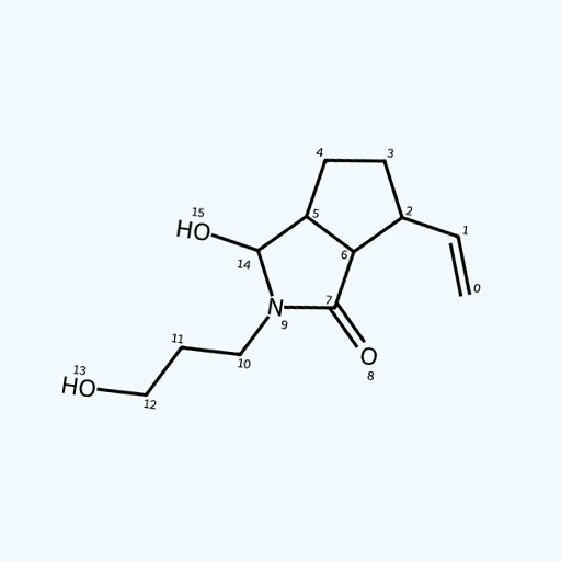 C=CC1CCC2C1C(=O)N(CCCO)C2O